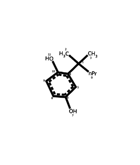 CCCC(C)(C)c1cc(O)ccc1O